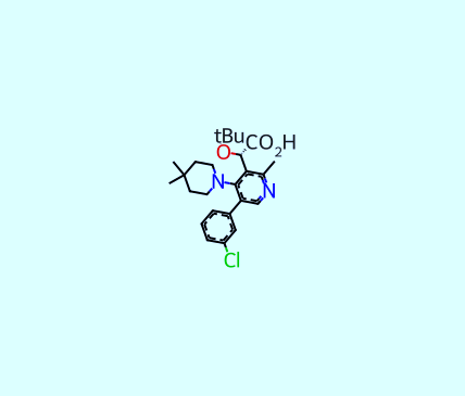 Cc1ncc(-c2cccc(Cl)c2)c(N2CCC(C)(C)CC2)c1[C@H](OC(C)(C)C)C(=O)O